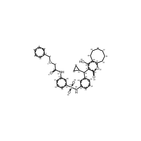 O=C(COCc1ccccc1)Nc1cccc(S(=O)(=O)Nc2cccc(C(c3c(O)c4c(oc3=O)CCCCCC4)C3CC3)c2)c1